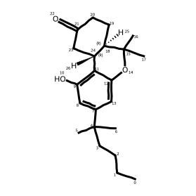 CCCCC(C)(C)c1cc(O)c2c(c1)OC(C)(C)[C@@H]1CCC(=O)C[C@@H]21